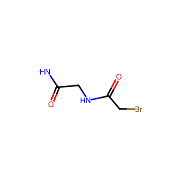 [NH]C(=O)CNC(=O)CBr